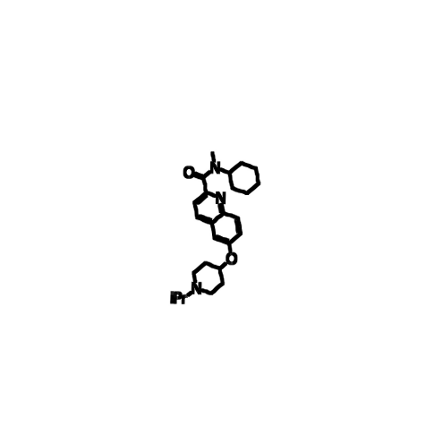 CC(C)N1CCC(Oc2ccc3nc(C(=O)N(C)C4CCCCC4)ccc3c2)CC1